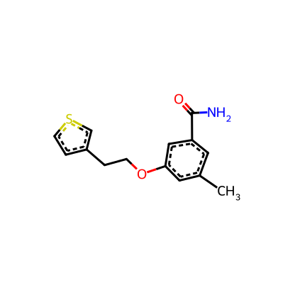 Cc1cc(OCCc2ccsc2)cc(C(N)=O)c1